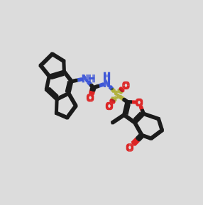 Cc1c(S(=O)(=O)NC(=O)Nc2c3c(cc4c2CCC4)CCC3)oc2c1C(=O)CCC2